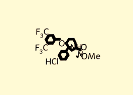 CON(C)C(=O)C1CC2(c3ccccc3)NC1CCC2OCc1cc(C(F)(F)F)cc(C(F)(F)F)c1.Cl